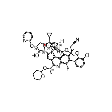 C[C@@H](OC1CCCCO1)c1nc2c(F)c(-c3cccc(Cl)c3Cl)c(CCC#N)cc2c2c1cc([C@H]1[C@H](O)[C@H](Oc3ccccn3)CN1C(=O)C1CC1)n2[C@H]1[C@@H]2C[C@H]1N(C(=O)OC(C)(C)C)C2